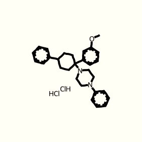 COc1cccc(C2(N3CCN(c4ccccc4)CC3)CCC(c3ccccc3)CC2)c1.Cl.Cl